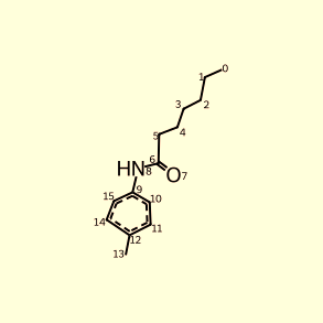 CCCCCCC(=O)Nc1ccc(C)cc1